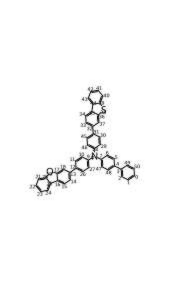 c1ccc(-c2ccc(N(c3ccc(-c4ccc5c(c4)oc4ccccc45)cc3)c3ccc(-c4ccc5c(c4)sc4ccccc45)cc3)cc2)cc1